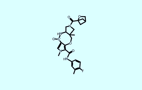 Cc1cc(NC(=O)c2c3c(cn2C)[S+]([O-])NC2CN(C(=O)C45CC(CO4)C5)CC2(C)CO3)ccc1F